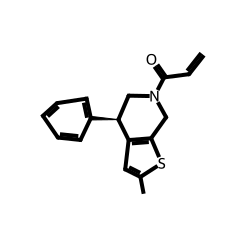 C=CC(=O)N1Cc2sc(C)cc2[C@@H](c2ccccc2)C1